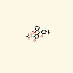 CC(=O)OCOC(=O)c1ccccc1-c1c2cc(F)c(=O)cc-2oc2cc(C(C)(C)C)c(F)cc12